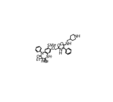 CCCCC1(CC)C(=O)[SH]c2cc(OCC(=O)N[C@@H](C(=O)NCC3CCNCC3)c3ccccc3)c(SC)cc2N(c2ccccc2)C1=O